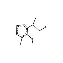 COc1c(I)cccc1[C](C)CF